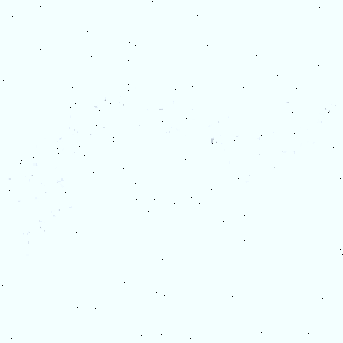 C[C@H]1C[C@@H](NC(=O)C2=CCC(N3CCN(CC4CCN(c5ccc6c(c5)C(=O)N(C5CCC(=O)NC5=O)C6=O)CC4)CC3)C=C2)CC[C@@H]1Oc1ccc(C#N)c(Cl)c1